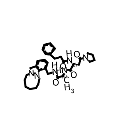 C[C@H](NC(=O)[C@H](CC(=O)N1CCCC1)NC(=O)CCc1ccccc1)C(=O)NCc1cccc2c1N1CCCCCCCN1C2